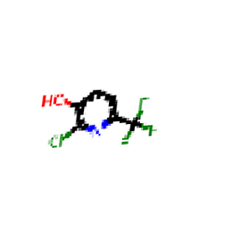 Oc1ccc(C(F)(F)F)nc1Cl